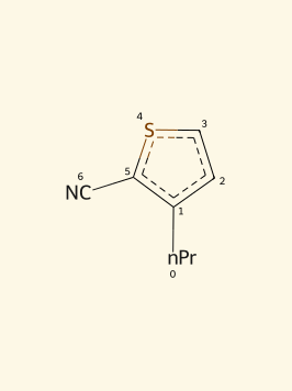 CCCc1ccsc1C#N